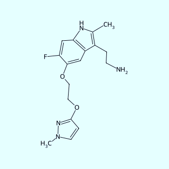 Cc1[nH]c2cc(F)c(OCCOc3ccn(C)n3)cc2c1CCN